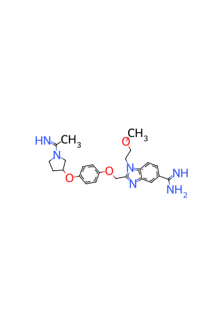 COCCn1c(COc2ccc(OC3CCN(C(C)=N)C3)cc2)nc2cc(C(=N)N)ccc21